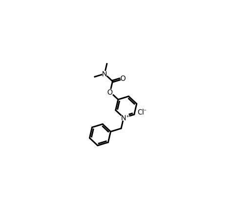 CN(C)C(=O)Oc1ccc[n+](Cc2ccccc2)c1.[Cl-]